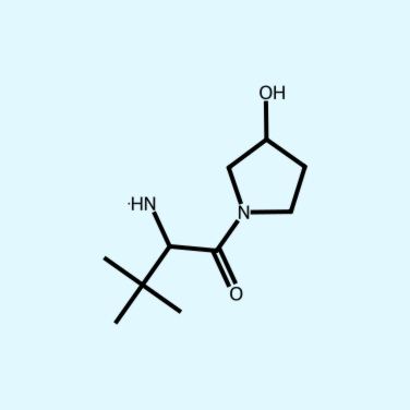 CC(C)(C)C([NH])C(=O)N1CCC(O)C1